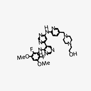 COc1cc(OC)c(F)c(Nc2ncncc2-c2cc(Nc3ccc(CN4CCN(CCO)CC4)cn3)ncn2)c1F